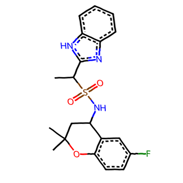 CC(c1nc2ccccc2[nH]1)S(=O)(=O)NC1CC(C)(C)Oc2ccc(F)cc21